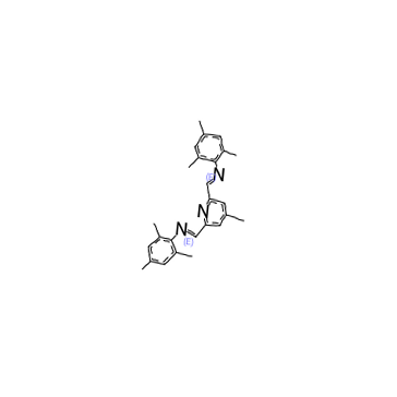 Cc1cc(/C=N/c2c(C)cc(C)cc2C)nc(/C=N/c2c(C)cc(C)cc2C)c1